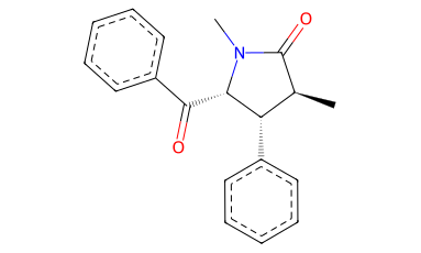 C[C@@H]1C(=O)N(C)[C@@H](C(=O)c2ccccc2)[C@H]1c1ccccc1